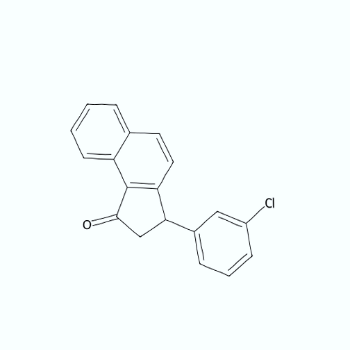 O=C1CC(c2cccc(Cl)c2)c2ccc3ccccc3c21